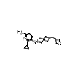 FC(F)(F)c1ccc(SN2CC3(CN(CC4COC4)C3)C2)c(C2CC2)n1